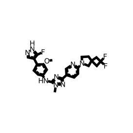 COc1cc(Nc2nc(-c3ccc(N4CCC5(C4)CC(F)(F)C5)nc3)nn2C)ccc1-c1cn[nH]c1F